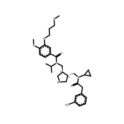 COCCCOc1cc(C(=O)N(C[C@@H]2CNC[C@H]2CN(C(=O)Cc2cccc(N)c2)C2CC2)C(C)C)ccc1OC